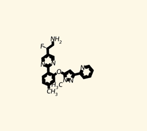 Cc1ccc(-c2ncc([C@H](F)CN)cn2)c(Oc2cc(-c3ccccn3)nn2C)c1